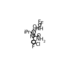 CC(C)C1CN(C(=O)NC2CC(F)(F)C2)Cc2c(C(N)=O)c(-c3ccc(F)c(Cl)c3)nn21